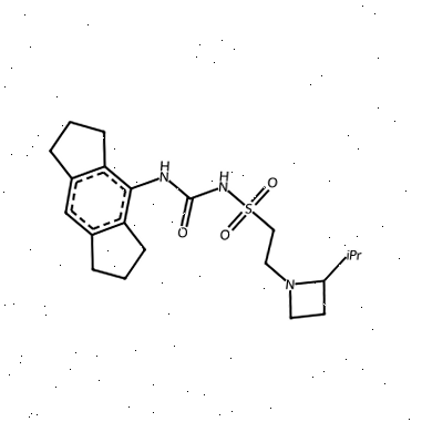 CC(C)C1CCN1CCS(=O)(=O)NC(=O)Nc1c2c(cc3c1CCC3)CCC2